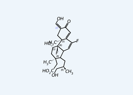 C[C@@H](CO)CC1C2C=C(F)C3=CC(=O)/C(=C\O)C[C@]3(C)[C@@]2(F)[C@@H](O)C[C@]1(C)CC(=O)O